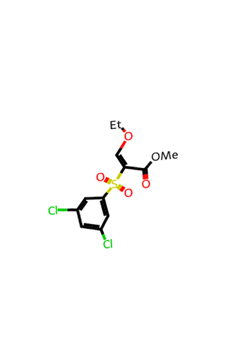 CCOC=C(C(=O)OC)S(=O)(=O)c1cc(Cl)cc(Cl)c1